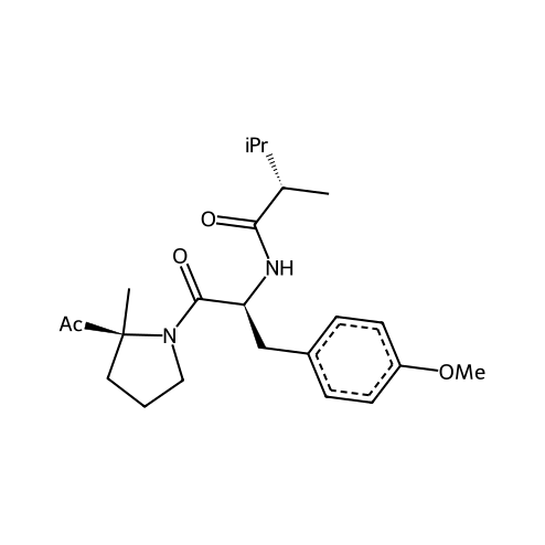 COc1ccc(C[C@H](NC(=O)[C@@H](C)C(C)C)C(=O)N2CCC[C@@]2(C)C(C)=O)cc1